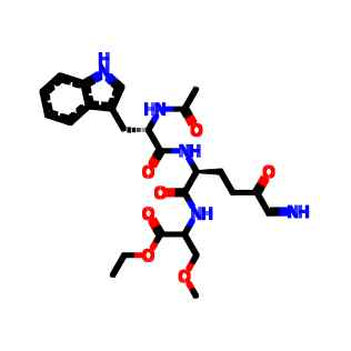 CCOC(=O)C(COC)NC(=O)[C@H](CCC(=O)C=N)NC(=O)[C@H](Cc1c[nH]c2ccccc12)NC(C)=O